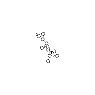 c1ccc(-c2ccc(N(c3ccc4c(c3)Oc3ccc(-c5ccc6c(c5)-c5ccccc5C65C6CC7CC(C6)CC5C7)cc3N4c3ccccc3)c3cccc4c3sc3ccccc34)cc2)cc1